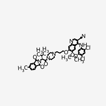 COc1cc(Nc2c(C#N)cnc3cc(OCCCN4CCN(C(=O)[C@H](C(C)C)N5C(=O)c6ccc(C)cc6C5=O)CC4)c(OC)cc23)c(Cl)cc1Cl